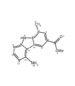 COC(=O)c1cc(C)c2[nH]c3ncnc(N)c3c2c1